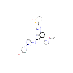 C=CC(=O)N1CCC[C@H]1c1ccc(N2CC[C@H]([C@H]3CCCCS3(=O)=O)C2)c2cnc(Nc3ccnc(N4CC[C@@H](OC)[C@@H](F)C4)n3)cc12